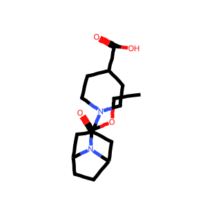 CCOC(=O)N1C2CCC1CC(N1CCC(C(=O)O)CC1)C2